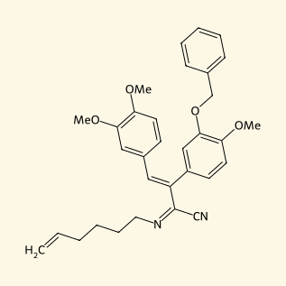 C=CCCCC/N=C(C#N)\C(=C\c1ccc(OC)c(OC)c1)c1ccc(OC)c(OCc2ccccc2)c1